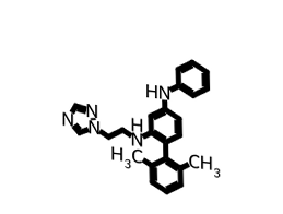 Cc1cccc(C)c1-c1ccc(Nc2ccccc2)cc1NCCn1cncn1